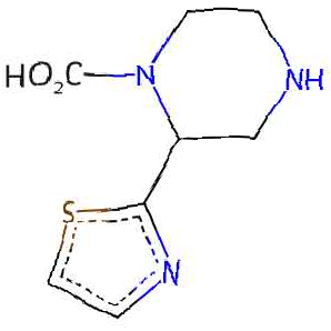 O=C(O)N1CCNCC1c1nccs1